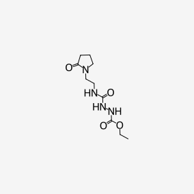 CCOC(=O)NNC(=O)NCCN1CCCC1=O